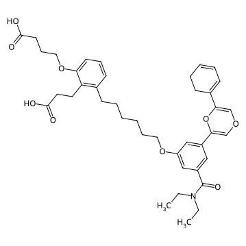 CCN(CC)C(=O)c1cc(OCCCCCCc2cccc(OCCCC(=O)O)c2CCC(=O)O)cc(C2=COC=C(C3=CC=CCC3)O2)c1